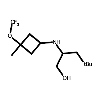 CC(C)(C)CC(CO)NC1CC(C)(OC(F)(F)F)C1